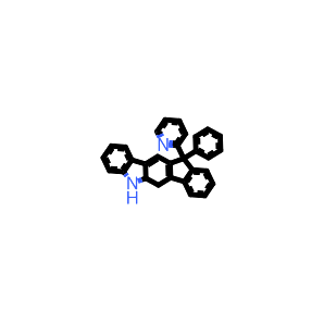 C1=C2c3ccccc3NC2CC2=C1C(c1ccccc1)(c1ccccn1)c1ccccc12